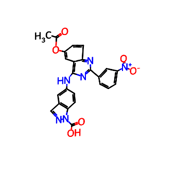 CC(=O)Oc1ccc2nc(-c3cccc([N+](=O)[O-])c3)nc(Nc3ccc4c(cnn4C(=O)O)c3)c2c1